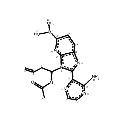 C=CCC(OC(C)=O)n1c(-c2nccnc2N)nc2ccc(B(O)O)nc21